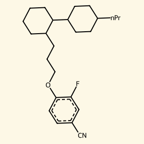 CCCC1CCC(C2CCCCC2CCCOc2ccc(C#N)cc2F)CC1